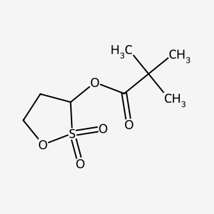 CC(C)(C)C(=O)OC1CCOS1(=O)=O